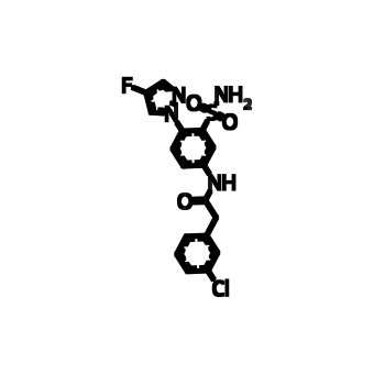 NS(=O)(=O)c1cc(NC(=O)Cc2cccc(Cl)c2)ccc1-n1cc(F)cn1